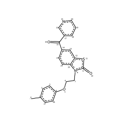 [CH2]c1ccc(OCCn2c(=O)sc3cc(C(=O)c4cccnc4)ccc32)cc1